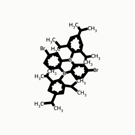 CC(C)c1cc(C(C)C)c(B2c3ccc(Br)cc3B(c3c(C(C)C)cc(C(C)C)cc3C(C)C)c3cc(Br)ccc32)c(C(C)C)c1